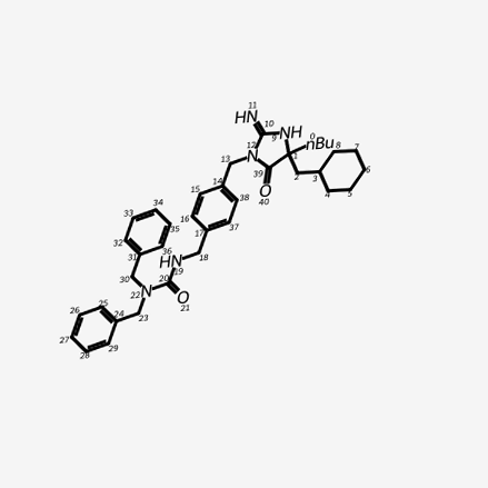 CCCCC1(CC2CCCCC2)NC(=N)N(Cc2ccc(CNC(=O)N(Cc3ccccc3)Cc3ccccc3)cc2)C1=O